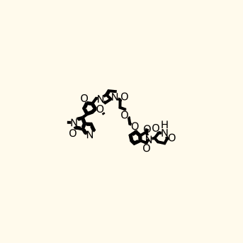 COc1cc(-c2cn(C)c(=O)c3cnccc23)cc(OC)c1CN1CC2C1=CCN2C(=O)CCOCCOc1cccc2c1C(=O)N(C1CCC(=O)NC1=O)C2=O